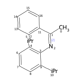 C/C(=N/c1c(C(C)C)cccc1C(C)C)c1ccccc1